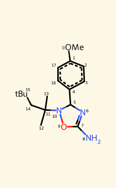 COc1ccc(C2N=C(N)ON2C(C)(C)CC(C)(C)C)cc1